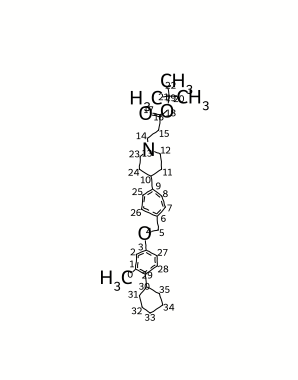 Cc1cc(OCc2ccc(C3CCN(CCC(=O)OC(C)(C)C)CC3)cc2)ccc1C1CCCCC1